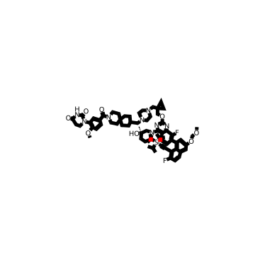 COCOc1cc(-c2ccc3c(N4CCC[C@@](C)(O)C4)nc(OCC4(CN5CCN(CC6CCC7(CC6)CCN(C(=O)c6ccc(OC)c(N8CCC(=O)NC8=O)c6)CC7)CC5)CC4)nc3c2F)c2c(C#C[Si](C(C)C)(C(C)C)C(C)C)c(F)ccc2c1